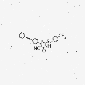 N#Cc1c(-c2ccc(C#Cc3ccccc3)cc2)nc(SCc2ccc(C(F)(F)F)cc2)[nH]c1=O